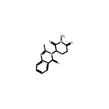 Cc1nc2ccccc2c(=O)n1C1CCC(=O)N(N)C1=O